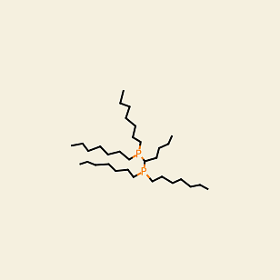 CCCCCCCP(CCCCCCC)C(CCCC)P(CCCCCCC)CCCCCCC